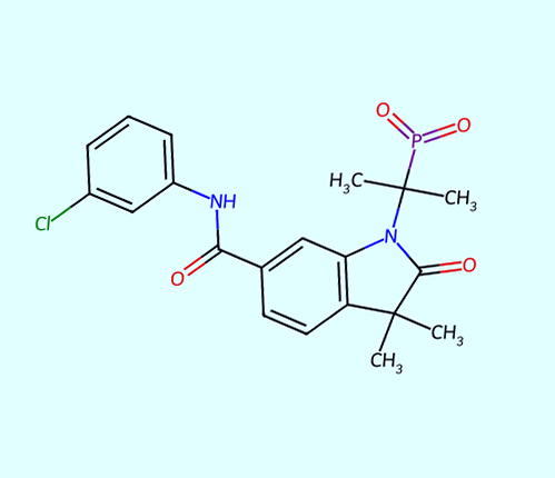 CC1(C)C(=O)N(C(C)(C)P(=O)=O)c2cc(C(=O)Nc3cccc(Cl)c3)ccc21